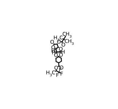 CCC(C)(C)C(=O)OC1C(=O)O[C@H]2C1O[C@@H]1OC3(CCC(C(=O)OC(C)C(F)(F)F)CC3)O[C@@H]12